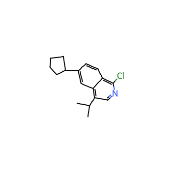 CC(C)c1cnc(Cl)c2ccc(C3CCCC3)cc12